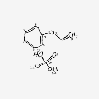 C=COc1ccccc1.O=S(=O)(O)O